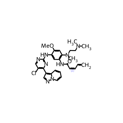 C=C/C=C\C(=O)Nc1cc(Nc2ncc(Cl)c(-c3cnn4ccccc34)n2)c(OC)cc1N(C)CCN(C)C